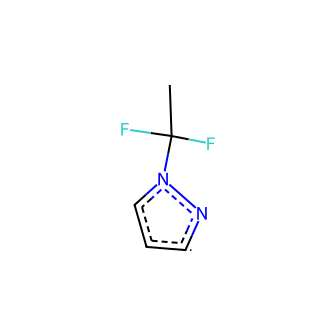 CC(F)(F)n1cc[c]n1